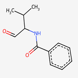 CC(C)C(C=O)NC(=O)c1ccccc1